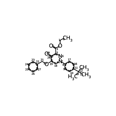 CCOC(=O)c1nn(-c2ccc(C(C)(C)C)cc2)cc(OCc2ccccc2)c1=O